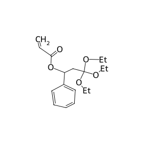 C=CC(=O)OC(CC(OCC)(OCC)OCC)c1ccccc1